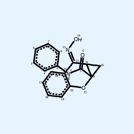 O=C(Nc1ccccc1)C12CC1/C(=N\O)c1ccccc1O2